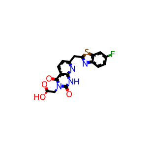 O=C(O)Cn1c(=O)[nH]c2nc(Cc3nc4ccc(F)cc4s3)ccc2c1=O